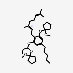 CCCCCc1cc(OC(CC)OC2(OC)CCCC2)c(C/C=C(\C)CCC=C(C)C)c(OC2(OC)CCCC2)c1